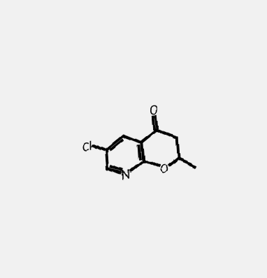 CC1CC(=O)c2cc(Cl)cnc2O1